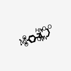 CN(C)S(=O)(=O)c1ccc(C2=NN3CCC(=O)ONC2(C)C3=O)cc1